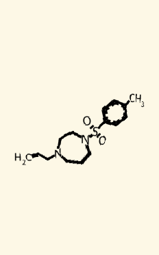 C=CCN1CCCN(S(=O)(=O)c2ccc(C)cc2)CC1